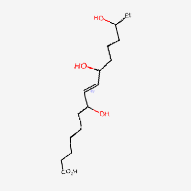 CCC(O)CCCC(O)/C=C/C(O)CCCCCC(=O)O